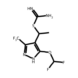 CC(SC(=N)N)c1c(C(F)(F)F)n[nH]c1OC(F)F